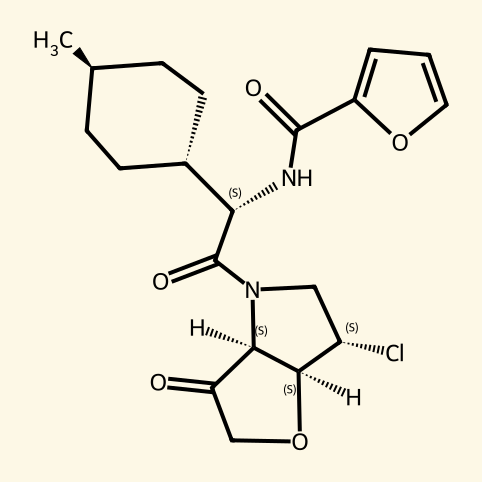 C[C@H]1CC[C@H]([C@H](NC(=O)c2ccco2)C(=O)N2C[C@H](Cl)[C@H]3OCC(=O)[C@H]32)CC1